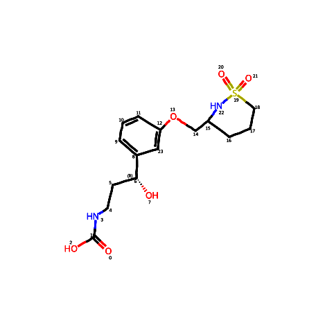 O=C(O)NCC[C@@H](O)c1cccc(OCC2CCCS(=O)(=O)N2)c1